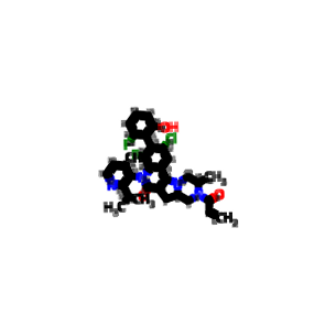 C=CC(=O)N1CC2Cc3c(c4cc(Cl)c(-c5c(O)cccc5F)c(F)c4n(-c4c(C)ccnc4C(C)C)c3=O)N2CC1C